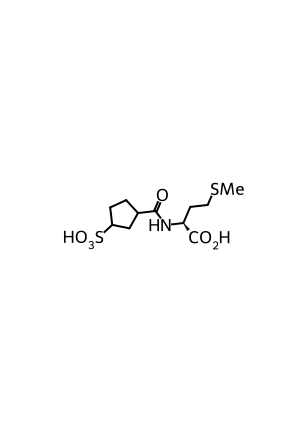 CSCC[C@H](NC(=O)C1CCC(S(=O)(=O)O)C1)C(=O)O